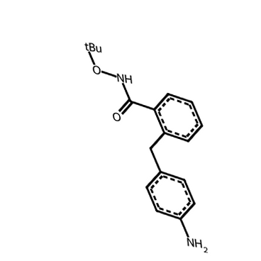 CC(C)(C)ONC(=O)c1ccccc1Cc1ccc(N)cc1